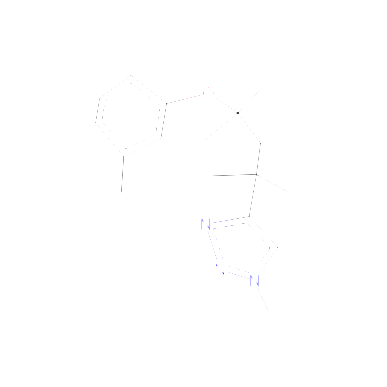 Cc1cccc(OC(C)(C)CC(C)(C)c2cn(C)nn2)c1